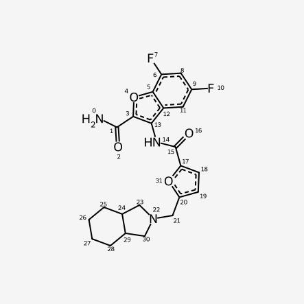 NC(=O)c1oc2c(F)cc(F)cc2c1NC(=O)c1ccc(CN2CC3CCCCC3C2)o1